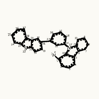 [2H]c1cccc2c3ccccc3n(-c3cccc(-c4ccc5sc6ccccc6c5c4)c3)c12